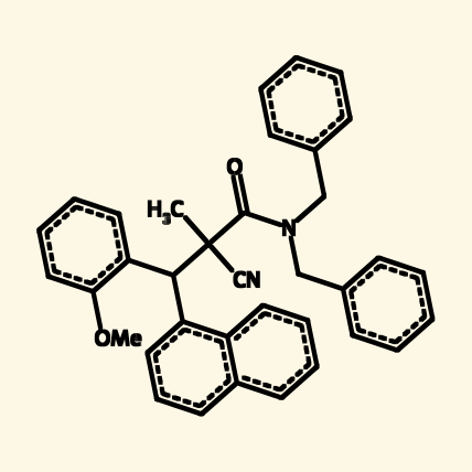 COc1ccccc1C(c1cccc2ccccc12)C(C)(C#N)C(=O)N(Cc1ccccc1)Cc1ccccc1